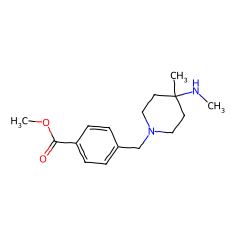 CNC1(C)CCN(Cc2ccc(C(=O)OC)cc2)CC1